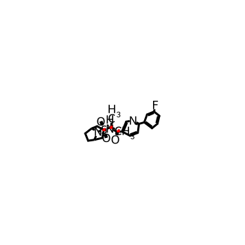 CC(C)S(=O)(=O)N1C2CCC1CC(NC(=O)c1ccc(-c3cccc(F)c3)nc1)C2